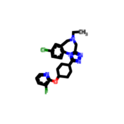 CCN1Cc2cc(Cl)ccc2-n2c(nnc2C2CCC(Oc3ncccc3F)CC2)C1